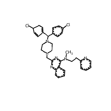 CN(CCc1ccccn1)c1nc(CN2CCN(C(C3=CCC(Cl)C=C3)c3ccc(Cl)cc3)CC2)nc2ccccc12